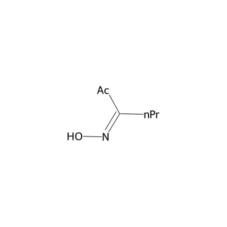 CCC/C(=N/O)C(C)=O